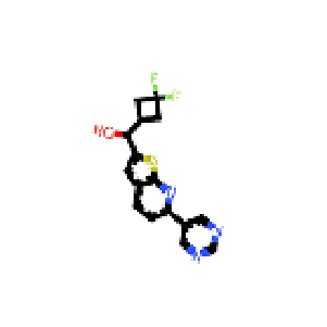 OC(c1cc2ccc(-c3cncnc3)nc2s1)C1CC(F)(F)C1